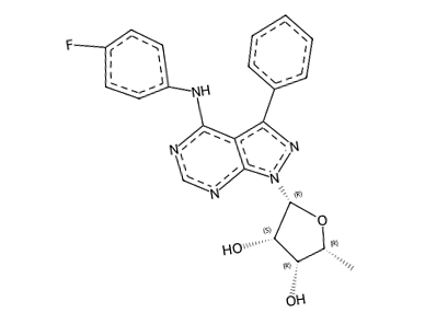 C[C@H]1O[C@@H](n2nc(-c3ccccc3)c3c(Nc4ccc(F)cc4)ncnc32)[C@@H](O)[C@H]1O